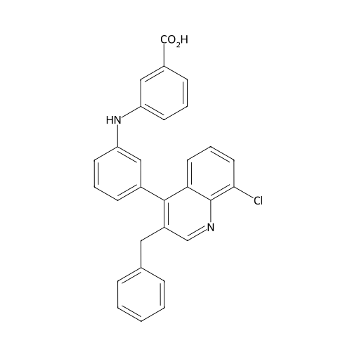 O=C(O)c1cccc(Nc2cccc(-c3c(Cc4ccccc4)cnc4c(Cl)cccc34)c2)c1